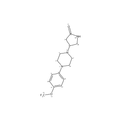 O=C1CC(N2CCN(c3ccc(OC(F)(F)F)cc3)CC2)CN1